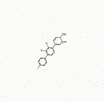 Cc1ccc(-c2ccc(C3=C[C@H](C)C(O)C=C3)c(F)c2F)cc1